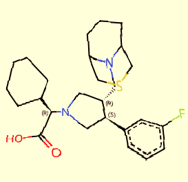 O=C(O)[C@@H](C1CCCCC1)N1C[C@H](CN2C3CCCC2CSC3)[C@@H](c2cccc(F)c2)C1